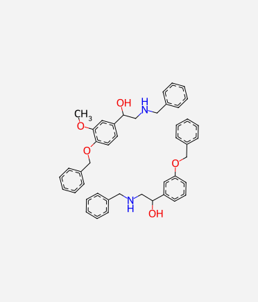 COc1cc(C(O)CNCc2ccccc2)ccc1OCc1ccccc1.OC(CNCc1ccccc1)c1cccc(OCc2ccccc2)c1